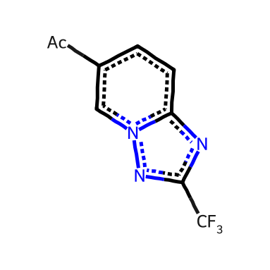 CC(=O)c1ccc2nc(C(F)(F)F)nn2c1